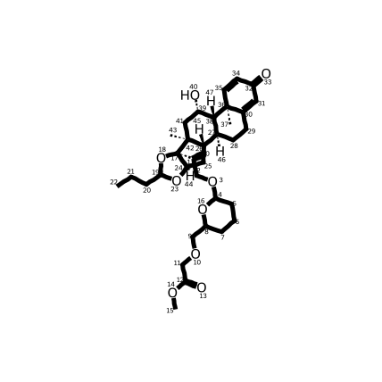 C=C(COC1CCCC(COCC(=O)OC)O1)[C@@]12OC(CCC)O[C@H]1C[C@H]1[C@@H]3CCC4=CC(=O)C=C[C@]4(C)[C@H]3[C@@H](O)C[C@@]12C